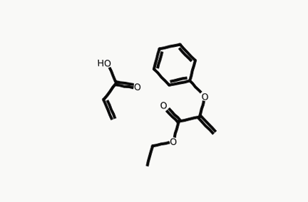 C=C(Oc1ccccc1)C(=O)OCC.C=CC(=O)O